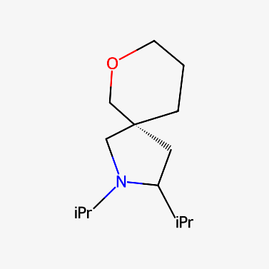 CC(C)C1C[C@]2(CCCOC2)CN1C(C)C